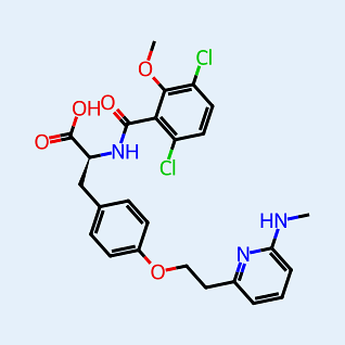 CNc1cccc(CCOc2ccc(C[C@H](NC(=O)c3c(Cl)ccc(Cl)c3OC)C(=O)O)cc2)n1